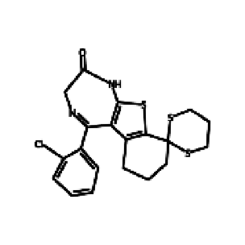 O=C1CN=C(c2ccccc2Cl)c2c(sc3c2CCCC32SCCCS2)N1